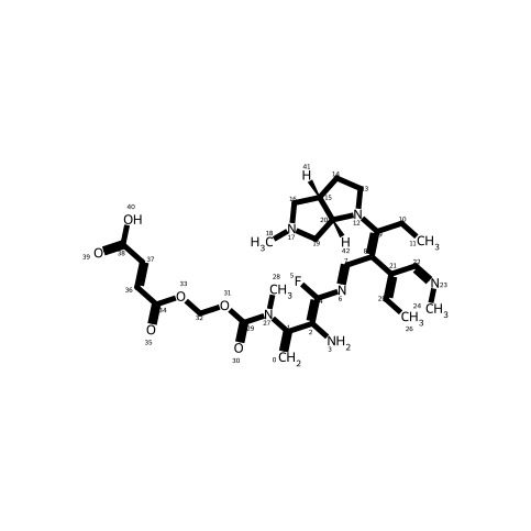 C=C(C(N)=C(F)N=CC(=C(CC)N1CC[C@H]2CN(C)C[C@H]21)C(/C=N\C)=C/C)N(C)C(=O)OCOC(=O)/C=C/C(=O)O